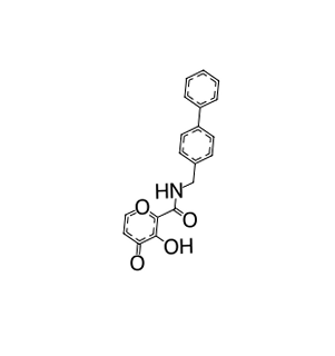 O=C(NCc1ccc(-c2ccccc2)cc1)c1occc(=O)c1O